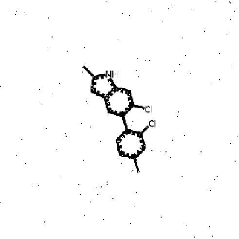 Cc1ccc(-c2cc3cc(C)[nH]c3cc2Cl)c(Cl)c1